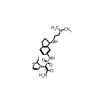 CN(C)CCNC1CCc2ccc(NS(=O)(=O)/C(=C(/N)Cl)N3C=CSC3I)cc21